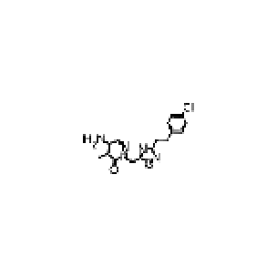 Cc1c(N)cnn(Cc2nc(CCc3ccc(Cl)cc3)no2)c1=O